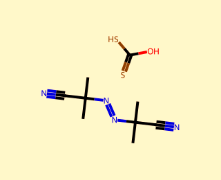 CC(C)(C#N)N=NC(C)(C)C#N.OC(=S)S